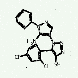 Nc1c(-n2nnc(S)c2-c2ccc(Cl)cc2Cl)cnn1-c1ccccc1